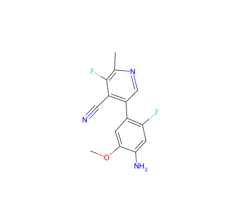 COc1cc(-c2cnc(C)c(F)c2C#N)c(F)cc1N